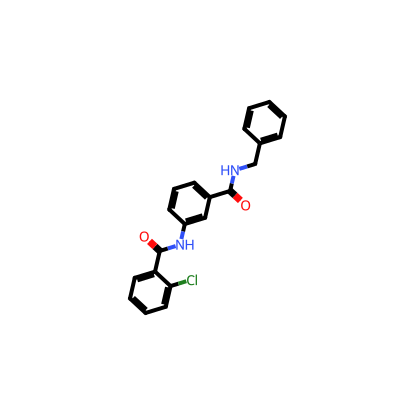 O=C(NCc1ccccc1)c1cccc(NC(=O)c2ccccc2Cl)c1